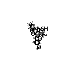 COc1ccc(CN(C(=O)OC(C)(C)C)C(=O)C2CC(S)CN2C(=O)OC(C)(C)C)cc1